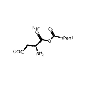 CCCCCC(=O)OC(=O)[C@@H](N)CC(=O)[O-].[Na+]